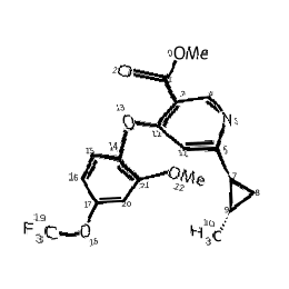 COC(=O)c1cnc([C@H]2C[C@@H]2C)cc1Oc1ccc(OC(F)(F)F)cc1OC